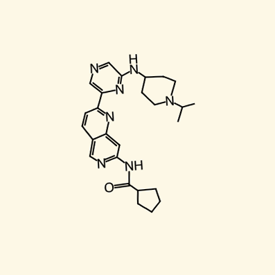 CC(C)N1CCC(Nc2cncc(-c3ccc4cnc(NC(=O)C5CCCC5)cc4n3)n2)CC1